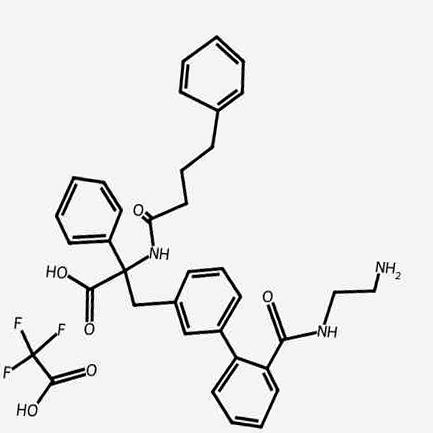 NCCNC(=O)c1ccccc1-c1cccc(CC(NC(=O)CCCc2ccccc2)(C(=O)O)c2ccccc2)c1.O=C(O)C(F)(F)F